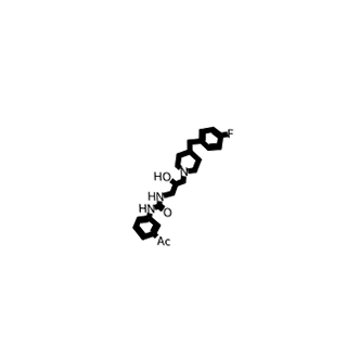 CC(=O)c1cccc(NC(=O)NCC(O)CN2CCC(Cc3ccc(F)cc3)CC2)c1